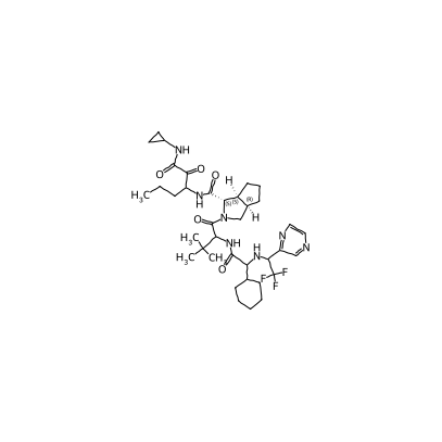 CCCC(NC(=O)[C@@H]1[C@H]2CCC[C@H]2CN1C(=O)C(NC(=O)C(NC(c1cnccn1)C(F)(F)F)C1CCCCC1)C(C)(C)C)C(=O)C(=O)NC1CC1